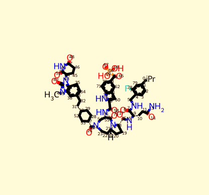 CC(C)c1ccc(CNC(=O)[C@H](CCC(N)=O)NC(=O)[C@@H]2CC[C@@H]3CCN(C(=O)[C@H]4CC[C@@H](CCc5ccc6c(c5)n(C)c(=O)n6C5CCC(=O)NC5=O)CC4)C[C@H](NC(=O)c4cc5cc(C(=O)P(=O)(O)O)ccc5[nH]4)C(=O)N32)c(F)c1